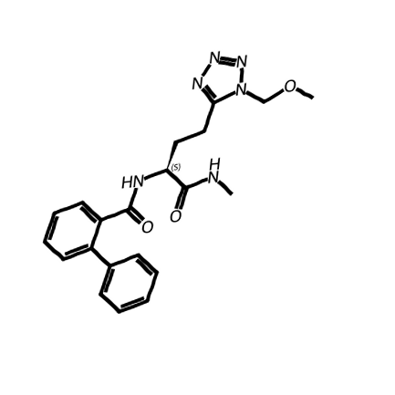 CNC(=O)[C@H](CCc1nnnn1COC)NC(=O)c1ccccc1-c1ccccc1